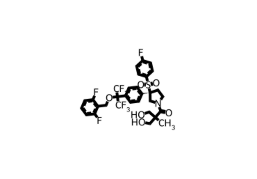 CC(CO)(CO)C(=O)N1CC[C@](c2ccc(C(OCc3c(F)cccc3F)(C(F)(F)F)C(F)(F)F)cc2)(S(=O)(=O)c2ccc(F)cc2)C1